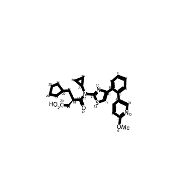 COc1ccc(-c2ccccc2-c2csc(N(C(=O)[C@@H](CC(=O)O)CC3CCCC3)C3CC3)n2)cn1